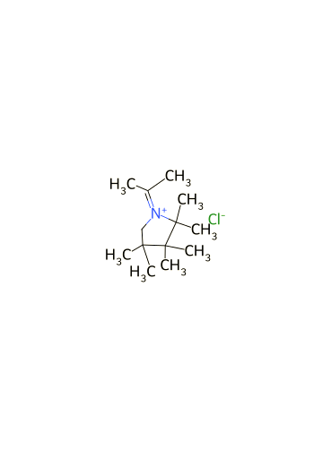 CC(C)=[N+]1CC(C)(C)C(C)(C)C1(C)C.[Cl-]